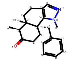 C[C@@H]1C(=O)CC[C@]2(Cc3ccccc3)c3c(cnn3C)CC[C@@H]12